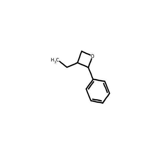 CC[C]1COC1c1ccccc1